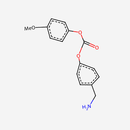 COc1ccc(OC(=O)Oc2ccc(CN)cc2)cc1